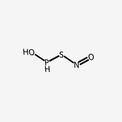 O=NSPO